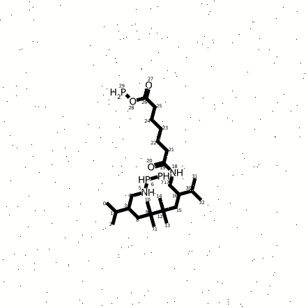 CC(C)C(CNPP)CC(C)(C)C(C)(C)CC(CNC(=O)CCCCCC(=O)OP)C(C)C